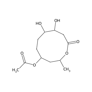 CC(=O)OC1CCC(O)C(O)CC(=O)OC(C)C1